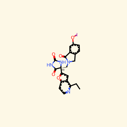 CCc1nccc2oc([C@]3(CN4Cc5ccc(OI)cc5C4=O)NC(=O)NC3=O)cc12